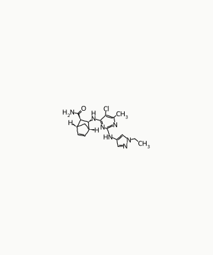 CCn1cc(Nc2nc(C)c(Cl)c(N[C@@H]3[C@H](C(N)=O)[C@H]4C=C[C@@H]3C4)n2)cn1